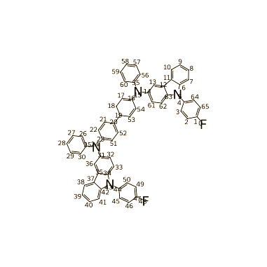 Fc1ccc(-n2c3ccccc3c3cc(N(C4=CCC(c5ccc(N(c6ccccc6)c6ccc7c(c6)c6ccccc6n7-c6ccc(F)cc6)cc5)C=C4)c4ccccc4)ccc32)cc1